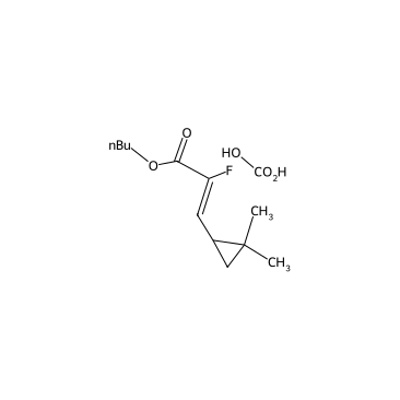 CCCCOC(=O)C(F)=CC1CC1(C)C.O=C(O)O